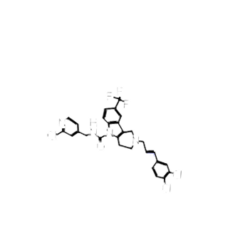 O=C(NCc1ccnc(Cl)c1)n1c2c(c3cc(C(F)(F)F)ccc31)CN(C/C=C/c1ccc(Cl)c(Cl)c1)CC2